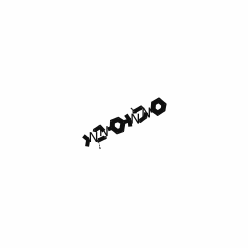 CC(C)N1CCN(c2ccc(C(C)(C)N3CCN(c4ccccc4)C[C@H]3C)cc2)C[C@@H]1C